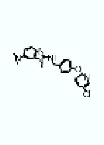 CN(C)c1ccc2nc(NCc3ccc(Oc4ccc(Cl)cn4)cc3)n(C)c2c1